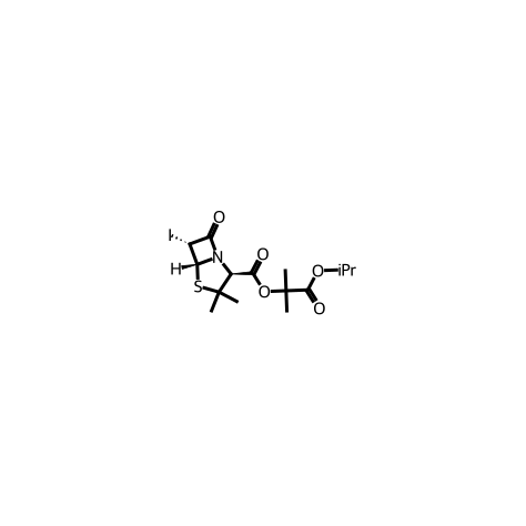 CC(C)OC(=O)C(C)(C)OC(=O)[C@@H]1N2C(=O)[C@@H](I)[C@H]2SC1(C)C